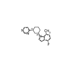 Cc1ccc(F)c2ccn([C@@H]3CCC[C@H](c4ccncn4)C3)c12